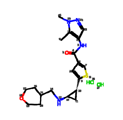 Cc1c(NC(=O)c2csc([C@@H]3C[C@H]3NCC3CCOCC3)c2)cnn1C.Cl.Cl